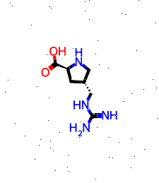 N=C(N)NC[C@H]1CN[C@H](C(=O)O)C1